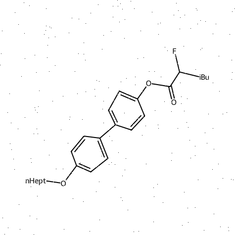 CCCCCCCOc1ccc(-c2ccc(OC(=O)C(F)C(C)CC)cc2)cc1